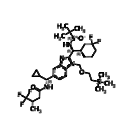 CC(CC(=O)N[C@@H](c1ccc2c(c1)nc([C@@H](N[S@+]([O-])C(C)(C)C)[C@@H]1CCCC(F)(F)C1)n2COCC[Si](C)(C)C)C1CC1)C(F)(F)F